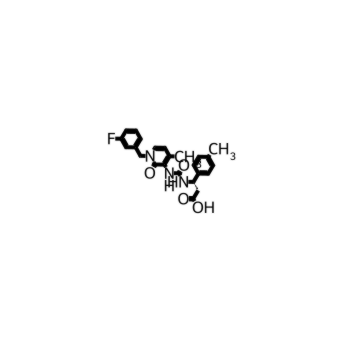 Cc1ccc([C@H](CC(=O)O)NC(=O)Nc2c(C)ccn(Cc3cccc(F)c3)c2=O)cc1